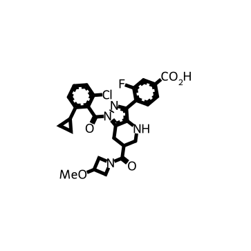 COC1CN(C(=O)C2CNc3c(-c4ccc(C(=O)O)cc4F)nn(C(=O)c4c(Cl)cccc4C4CC4)c3C2)C1